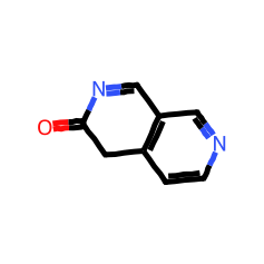 O=C1Cc2ccncc2C=N1